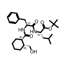 CC(C)C[C@H](NC(=O)[C@H](Cc1ccccc1)NC(=O)[C@@H]1CCCC[C@H]1CO)C(=O)OC(C)(C)C